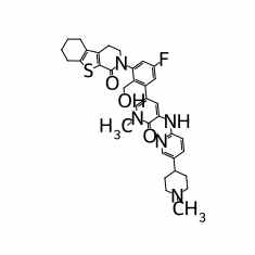 CN1CCC(c2ccc(Nc3cc(-c4cc(F)cc(N5CCc6c(sc7c6CCCC7)C5=O)c4CO)cn(C)c3=O)nc2)CC1